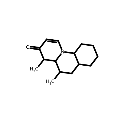 CC1CC2CCCCC2N2C=CC(=O)C(C)C12